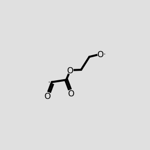 [O]CCOC(=O)[C]=O